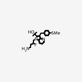 CSc1ccc(Cc2c(C(C)(C)O)n(C/C(F)=C/CN)c3cccnc23)cc1